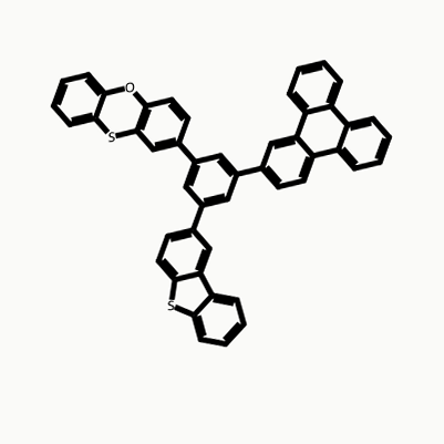 c1ccc2c(c1)Oc1ccc(-c3cc(-c4ccc5sc6ccccc6c5c4)cc(-c4ccc5c6ccccc6c6ccccc6c5c4)c3)cc1S2